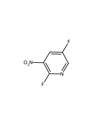 O=[N+]([O-])c1cc(F)cnc1F